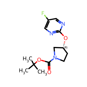 CC(C)(C)OC(=O)N1CC[C@@H](Oc2ncc(F)cn2)C1